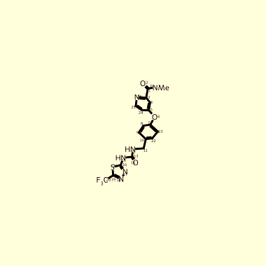 CNC(=O)c1cc(Oc2ccc(CNC(=O)Nc3nnc(C(F)(F)F)s3)cc2)ccn1